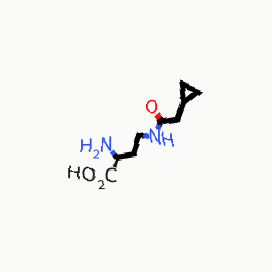 N[C@@H](CCNC(=O)CC1CC1)C(=O)O